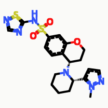 Cn1nccc1[C@@H]1CCCCN1[C@H]1CCOc2cc(S(=O)(=O)Nc3ncns3)ccc21